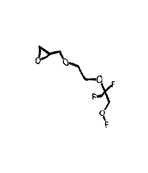 FOCC(F)(F)OCCOCC1CO1